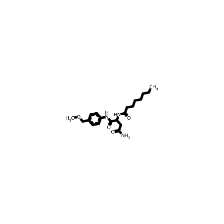 CCCCCCCC(=O)NC(CC(N)=O)C(=O)Nc1ccc(COC)cc1